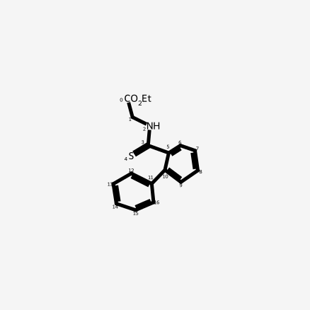 CCOC(=O)CNC(=S)c1ccccc1-c1ccccc1